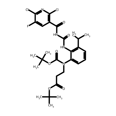 CC(C)c1cccc(N(CCC(=O)OC(C)(C)C)C(=O)OC(C)(C)C)c1NC(=O)NC(=O)c1cc(F)c(Cl)nc1Cl